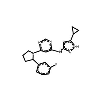 Fc1cccc(C2CCCN2c2cc(Nc3cc(C4CC4)[nH]n3)ncn2)c1